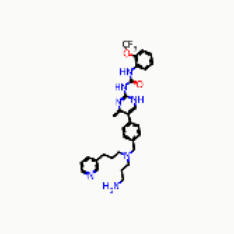 C=C1N=C(NC(=O)Nc2ccccc2OC(F)(F)F)NC=C1c1ccc(CN(CCCN)CCCc2cccnc2)cc1